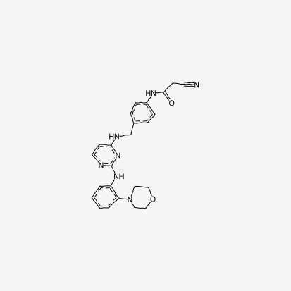 N#CCC(=O)Nc1ccc(CNc2ccnc(Nc3ccccc3N3CCOCC3)n2)cc1